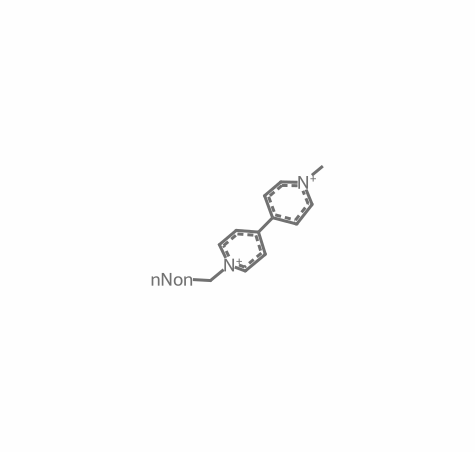 CCCCCCCCCC[n+]1ccc(-c2cc[n+](C)cc2)cc1